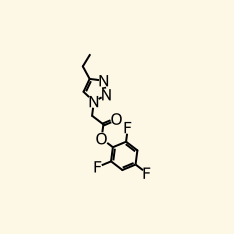 CCc1cn(CC(=O)Oc2c(F)cc(F)cc2F)nn1